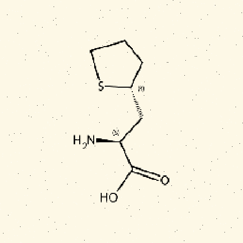 N[C@@H](C[C@H]1CCCS1)C(=O)O